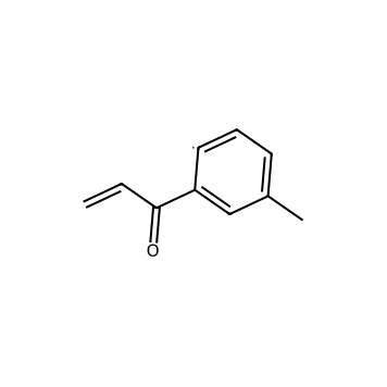 C=CC(=O)c1[c]ccc(C)c1